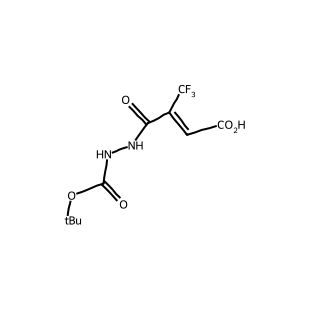 CC(C)(C)OC(=O)NNC(=O)C(=CC(=O)O)C(F)(F)F